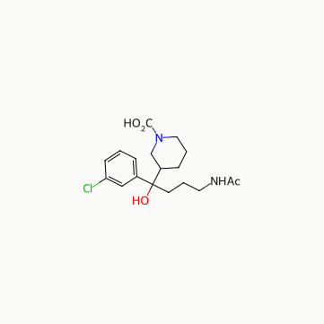 CC(=O)NCCCC(O)(c1cccc(Cl)c1)C1CCCN(C(=O)O)C1